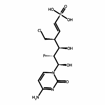 Nc1ccn([C@H](O)[C@H](F)[C@H](O)[C@H](/C=C/P(=O)(O)O)CCl)c(=O)n1